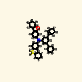 CS1(C)c2ccccc2-c2cc(N(c3cc(-c4ccccc4)cc(C4CC5CCC4C5)c3)c3ccc4c(c3)oc3ccccc34)ccc21